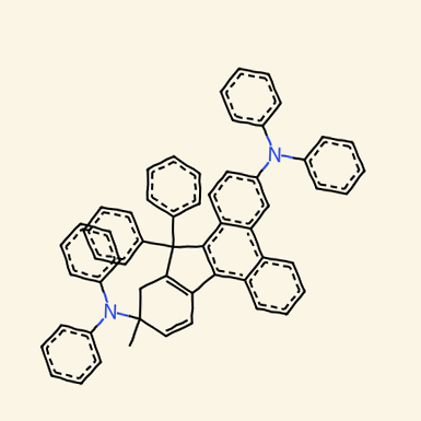 CC1(N(c2ccccc2)c2ccccc2)C=CC2=C(C1)C(c1ccccc1)(c1ccccc1)c1c2c2ccccc2c2cc(N(c3ccccc3)c3ccccc3)ccc12